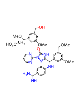 CC(=O)O.COCc1cc(CO)cc(OC)c1.COCc1cc(OC)cc([C@H](Nc2ccc(C(=N)N)cc2)c2nn(-c3ncccn3)c(=O)[nH]2)c1